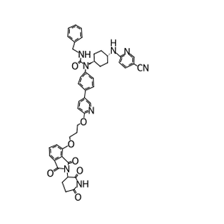 N#Cc1ccc(N[C@H]2CC[C@H](N(C(=O)NCc3ccccc3)c3ccc(-c4ccc(OCCCOc5cccc6c5C(=O)N(C5CCC(=O)NC5=O)C6=O)nc4)cc3)CC2)nc1